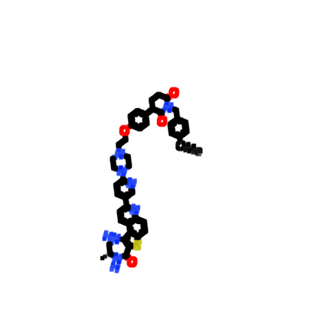 COc1ccc(CN2C(=O)CCC(c3ccc(OCCN4CCN(c5ccc(-c6ccc7c(ccc8sc9c(c87)NC[C@@H](C)NC9=O)n6)cn5)CC4)cc3)C2=O)cc1